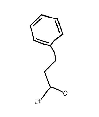 CCC([O])CCc1ccccc1